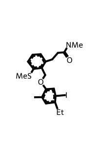 CCc1cc(C)c(OCc2c(CCC(=O)NC)cccc2SC)cc1I